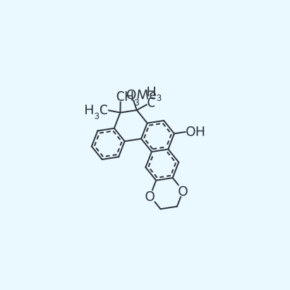 COC1(C)c2cc(O)c3cc4c(cc3c2-c2ccccc2C1(C)C)OCCO4